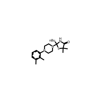 CCCCC1(N2CCN(c3cccc(C)c3C)CC2)NC(=O)C(C)(C)S1